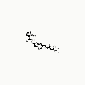 CC(C)n1nccc1C(=O)NCc1cn2ncc(CNC(=O)C[C@H](C)C(F)(F)F)cc2n1